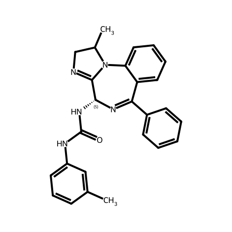 Cc1cccc(NC(=O)N[C@H]2N=C(c3ccccc3)c3ccccc3N3C2=NCC3C)c1